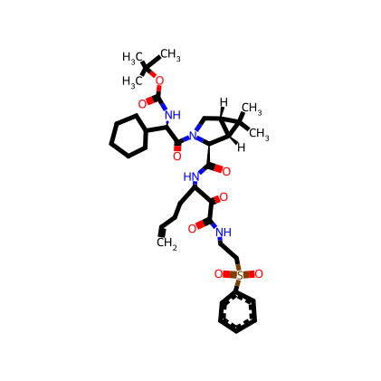 C=CCCC(NC(=O)[C@@H]1[C@@H]2[C@H](CN1C(=O)[C@@H](NC(=O)OC(C)(C)C)C1CCCCC1)C2(C)C)C(=O)C(=O)NCCS(=O)(=O)c1ccccc1